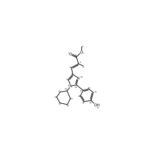 COC(=O)/C(C)=C/c1cn(C2CCCCC2)c(-c2ccc(O)cc2)n1